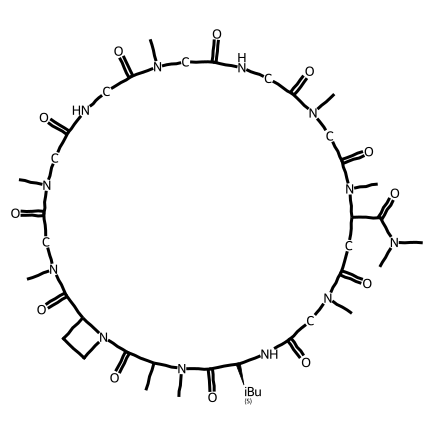 CC[C@H](C)C1NC(=O)CN(C)C(=O)CC(C(=O)N(C)C)N(C)C(=O)CN(C)C(=O)CNC(=O)CN(C)C(=O)CNC(=O)CN(C)C(=O)CN(C)C(=O)C2CCN2C(=O)C(C)N(C)C1=O